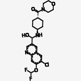 O=C([C@H]1CC[C@H](NC(O)c2cnc3cc(OC(F)F)c(Cl)cc3c2)CC1)N1CCOCC1